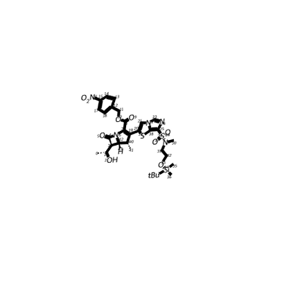 C[C@@H](O)[C@H]1C(=O)N2C(C(=O)OCc3ccc([N+](=O)[O-])cc3)=C(c3cn4cnc(S(=O)(=O)N(C)CCO[Si](C)(C)C(C)(C)C)c4s3)[C@H](C)[C@H]12